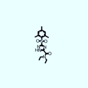 CCN(CC)C(=O)c1nc(S(=O)(=O)c2c(C)cc(C)cc2C)n[nH]1